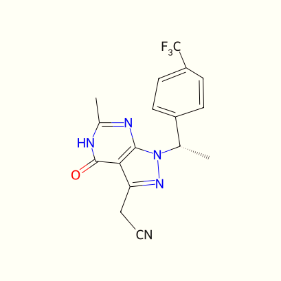 Cc1nc2c(c(CC#N)nn2[C@@H](C)c2ccc(C(F)(F)F)cc2)c(=O)[nH]1